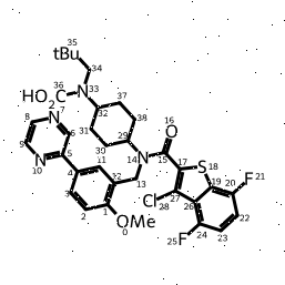 COc1ccc(-c2cnccn2)cc1CN(C(=O)c1sc2c(F)ccc(F)c2c1Cl)C1CCC(N(CC(C)(C)C)C(=O)O)CC1